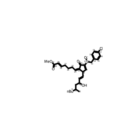 CCCCC(C)CC(O)/C=C/C1C=C([S+]([O-])Cc2ccc(Cl)cc2)C(=O)/C1=C\CCC/C=C/C(=O)OC